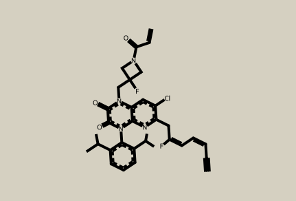 C#C/C=C\C=C(\F)Cc1nc2c(cc1Cl)n(CC1(F)CN(C(=O)C=C)C1)c(=O)c(=O)n2-c1c(C(C)C)cccc1C(C)C